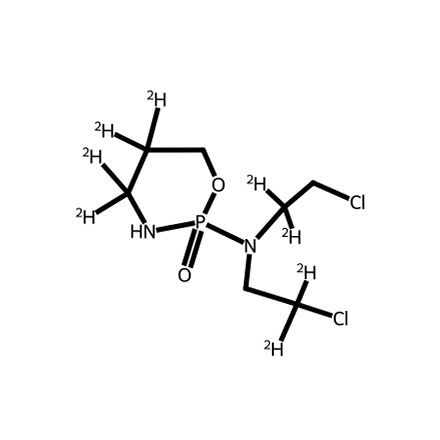 [2H]C([2H])(Cl)CN(C([2H])([2H])CCl)P1(=O)NC([2H])([2H])C([2H])([2H])CO1